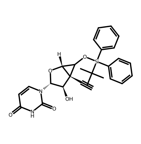 C#C[C@]12C(O[Si](c3ccccc3)(c3ccccc3)C(C)(C)C)[C@H]1O[C@@H](n1ccc(=O)[nH]c1=O)[C@@H]2O